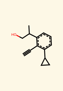 C#Cc1c([C](C)CO)cccc1C1CC1